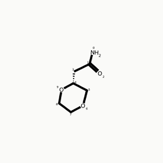 NC(=O)C[C@@H]1COCCO1